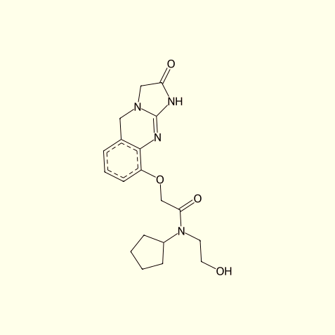 O=C1CN2Cc3cccc(OCC(=O)N(CCO)C4CCCC4)c3N=C2N1